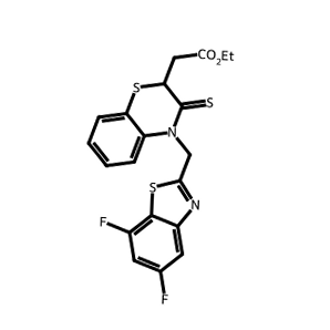 CCOC(=O)CC1Sc2ccccc2N(Cc2nc3cc(F)cc(F)c3s2)C1=S